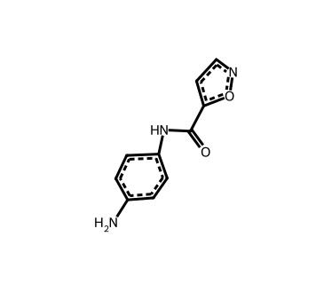 Nc1ccc(NC(=O)c2ccno2)cc1